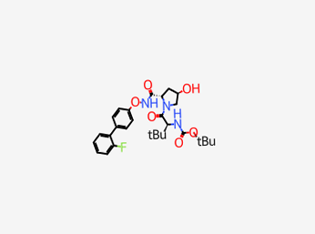 CC(C)(C)OC(=O)N[C@H](C(=O)N1C[C@H](O)C[C@H]1C(=O)NOc1ccc(-c2ccccc2F)cc1)C(C)(C)C